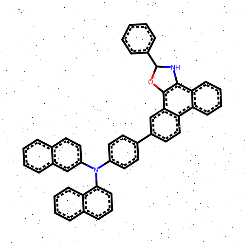 c1ccc(C2Nc3c(c4cc(-c5ccc(N(c6ccc7ccccc7c6)c6cccc7ccccc67)cc5)ccc4c4ccccc34)O2)cc1